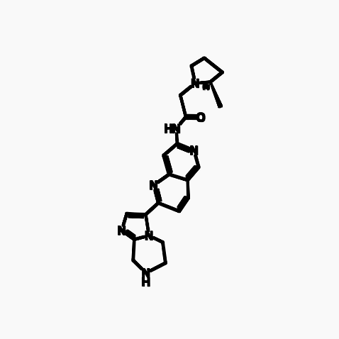 C[C@@H]1CCCN1CC(=O)Nc1cc2nc(-c3cnc4n3CCNC4)ccc2cn1